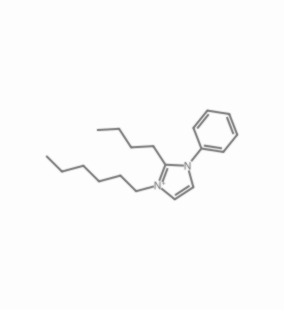 CCCCCC[n+]1ccn(-c2ccccc2)c1CCCC